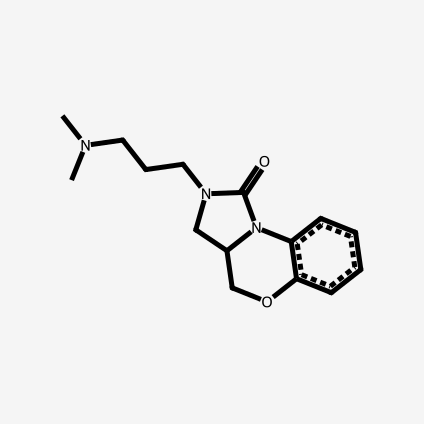 CN(C)CCCN1CC2COc3ccccc3N2C1=O